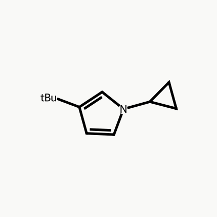 CC(C)(C)c1ccn(C2CC2)c1